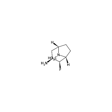 N[C@H]1C[C@@H]2CC[C@H]([C@H]1F)N2C(=O)O